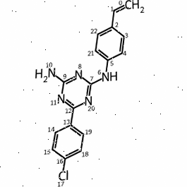 C=Cc1ccc(Nc2nc(N)nc(-c3ccc(Cl)cc3)n2)cc1